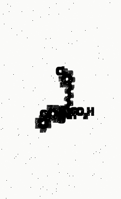 O=C(O)C(CCCCCCc1ccc(Cl)cc1)NS(=O)(=O)c1ccc2oc3ccccc3c2c1